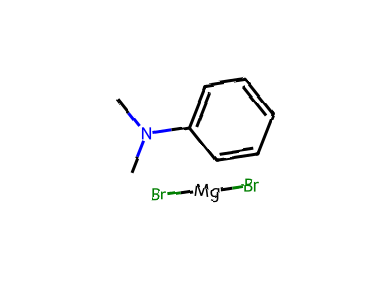 CN(C)c1ccccc1.[Br][Mg][Br]